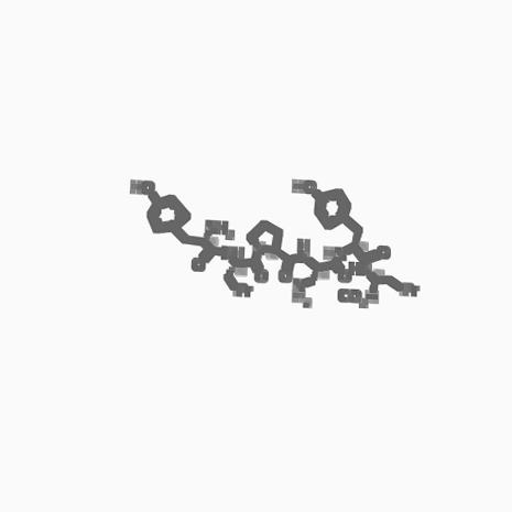 CC(C)C[C@H](NC(=O)[C@H](Cc1ccc(O)cc1)NC(=O)[C@H](CN)NC(=O)[C@@H]1CCCN1C(=O)[C@H](CC(C)C)NC(=O)[C@@H](N)Cc1ccc(O)cc1)C(=O)O